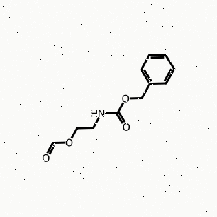 O=COCCNC(=O)OCc1ccccc1